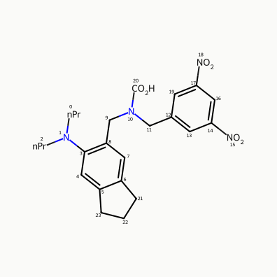 CCCN(CCC)c1cc2c(cc1CN(Cc1cc([N+](=O)[O-])cc([N+](=O)[O-])c1)C(=O)O)CCC2